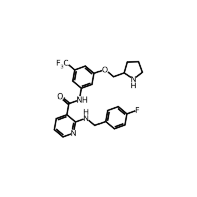 O=C(Nc1cc(OCC2CCCN2)cc(C(F)(F)F)c1)c1cccnc1NCc1ccc(F)cc1